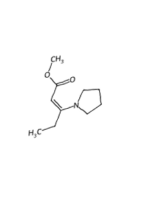 CC/C(=C/C(=O)OC)N1CCCC1